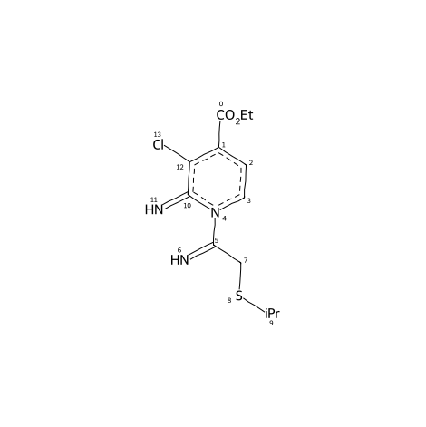 CCOC(=O)c1ccn(C(=N)CSC(C)C)c(=N)c1Cl